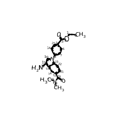 CCOC(=O)c1ccc(-n2cc(N)c3cc(C(=O)N(C)C)ccc32)cc1